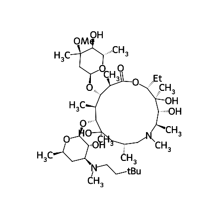 CC[C@H]1OC(=O)[C@H](C)[C@@H](O[C@H]2C[C@@](C)(OC)[C@@H](O)[C@H](C)O2)[C@H](C)[C@@H](O[C@@H]2O[C@H](C)C[C@H](N(C)CCC(C)(C)C)[C@H]2O)[C@](C)(O)C[C@@H](C)CN(C)[C@H](C)[C@@H](O)[C@]1(C)O